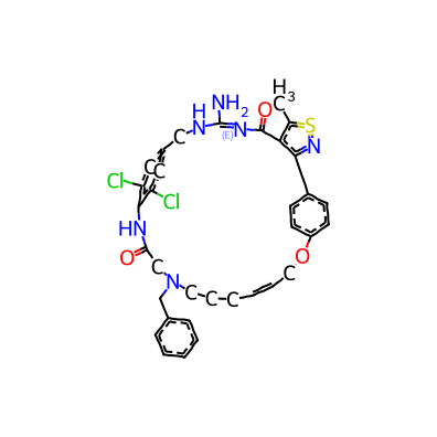 Cc1snc2c1C(=O)/N=C(\N)NCc1cc(Cl)c(c(Cl)c1)NC(=O)CN(Cc1ccccc1)CCCC=CCOc1ccc-2cc1